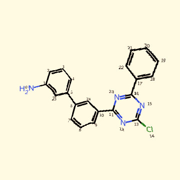 Nc1cccc(-c2cccc(-c3nc(Cl)nc(-c4ccccc4)n3)c2)c1